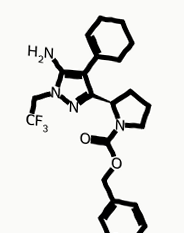 Nc1c(C2=CCCCC2)c([C@H]2CCCN2C(=O)OCc2ccccc2)nn1CC(F)(F)F